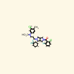 Cc1ccc(N(CCCN2CC3CN(C(=O)c4c(F)cccc4Cl)CC3C2)C(=O)O)cc1Cl.FC1(F)CCCCC1